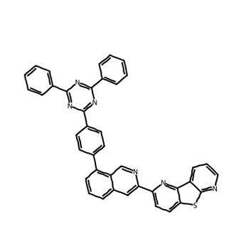 c1ccc(-c2nc(-c3ccccc3)nc(-c3ccc(-c4cccc5cc(-c6ccc7sc8ncccc8c7n6)ncc45)cc3)n2)cc1